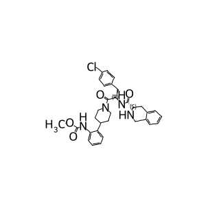 COC(=O)Nc1ccccc1C1CCN(C(=O)[C@@H](Cc2ccc(Cl)cc2)NC(=O)[C@@H]2Cc3ccccc3CN2)CC1